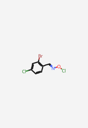 ClON=Cc1ccc(Cl)cc1Br